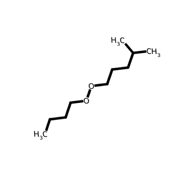 CCCCOOCCCC(C)C